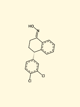 ON=C1CC[C@@H](c2ccc(Cl)c(Cl)c2)c2ccccc21